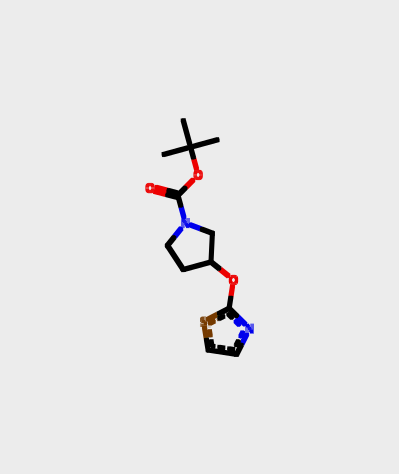 CC(C)(C)OC(=O)N1CCC(Oc2nccs2)C1